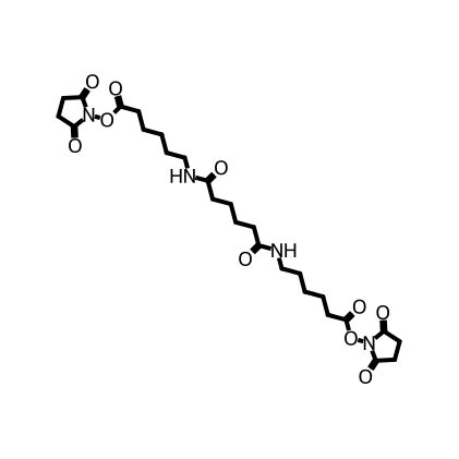 O=C(CCCCC(=O)NCCCCCC(=O)ON1C(=O)CCC1=O)NCCCCCC(=O)ON1C(=O)CCC1=O